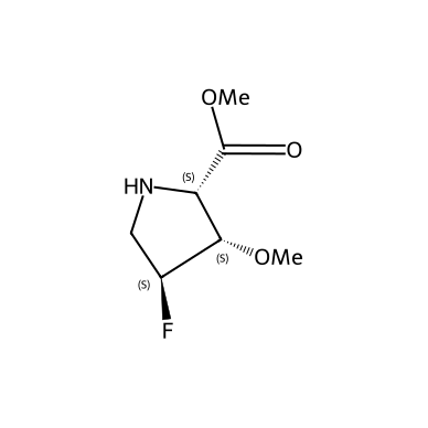 COC(=O)[C@H]1NC[C@H](F)[C@H]1OC